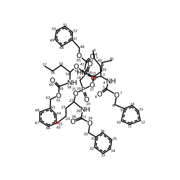 CCCC(NC(=O)OCc1ccccc1)OP(=O)(CP(=O)(OC(CCC)NC(=O)OCc1ccccc1)OC(CCC)NC(=O)OCc1ccccc1)OC(CCC)NC(=O)OCc1ccccc1